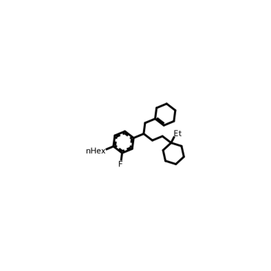 CCCCCCc1ccc(C(CCC2(CC)CCCCC2)CC2=CCCCC2)cc1F